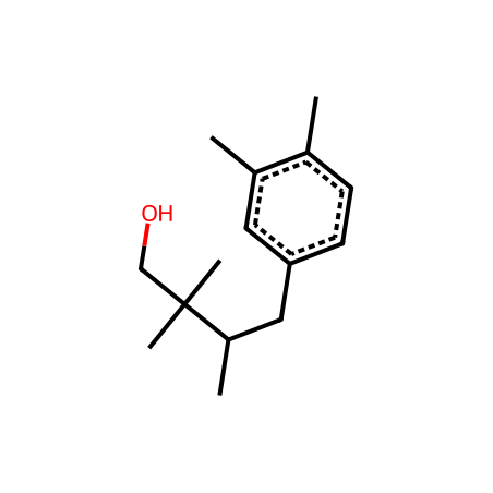 Cc1ccc(CC(C)C(C)(C)CO)cc1C